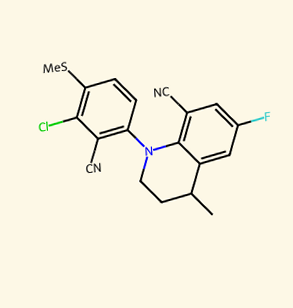 CSc1ccc(N2CCC(C)c3cc(F)cc(C#N)c32)c(C#N)c1Cl